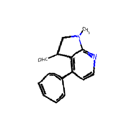 CN1CC(C=O)c2c(-c3ccccc3)ccnc21